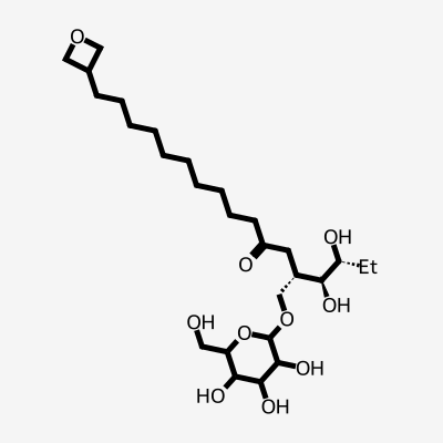 CC[C@@H](O)[C@@H](O)[C@H](COC1OC(CO)C(O)C(O)C1O)CC(=O)CCCCCCCCCCC1COC1